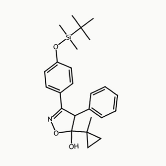 CC1(C2(O)ON=C(c3ccc(O[Si](C)(C)C(C)(C)C)cc3)C2c2ccccc2)CC1